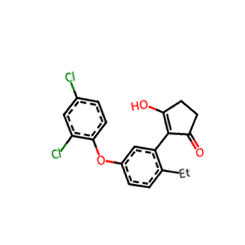 CCc1ccc(Oc2ccc(Cl)cc2Cl)cc1C1=C(O)CCC1=O